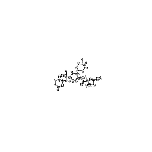 C[C@H]([C@@H]1CCC[C@H](C)O1)[C@](C)(O)c1ccc(NC(=O)c2nc(C#N)c[nH]2)c(C2=CCC(C)(C)CC2)c1